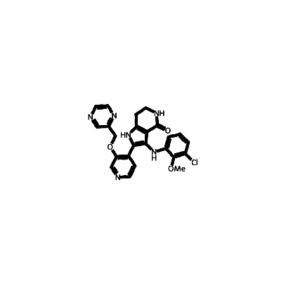 COc1c(Cl)cccc1Nc1c(-c2ccncc2OCc2cnccn2)[nH]c2c1C(=O)NCC2